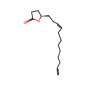 C=CCCCCCC/C=C\CC[C@@H]1CCC(=O)O1